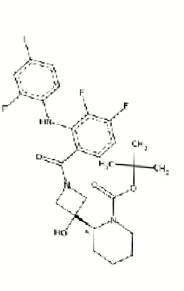 CC(C)(C)OC(=O)N1CCCC[C@H]1C1(O)CN(C(=O)c2ccc(F)c(F)c2Nc2ccc(I)cc2F)C1